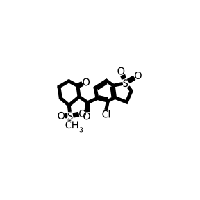 CS(=O)(=O)C1CCCC(=O)C1C(=O)c1ccc2c(c1Cl)CCS2(=O)=O